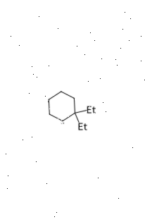 CCC1(CC)[C]CCCC1